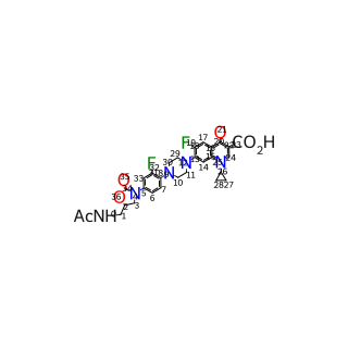 CC(=O)NCC1CN(c2ccc(N3CCN(c4cc5c(cc4F)c(=O)c(C(=O)O)cn5C4CC4)CC3)c(F)c2)C(=O)O1